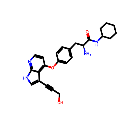 N[C@@H](Cc1ccc(Oc2ccnc3[nH]cc(C#CCO)c23)cc1)C(=O)NC1CCCCC1